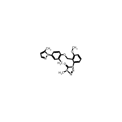 COc1cccc(-n2nnn(C)c2=O)c1COc1ccc(-n2nccc2C)cc1C